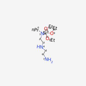 CCCN(CCNCCN)[Si](OCC)(OCC)OCC